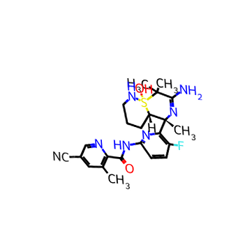 Cc1cc(C#N)cnc1C(=O)Nc1ccc(F)c([C@@]2(C)N=C(N)C(C)(C)S3(O)NCCC[C@@H]23)n1